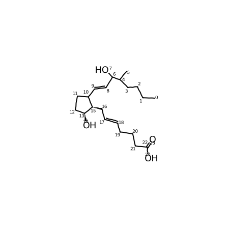 CCCCC(C)C(O)C=CC1CC[C@H](O)[C@@H]1CC=CCCCC(=O)O